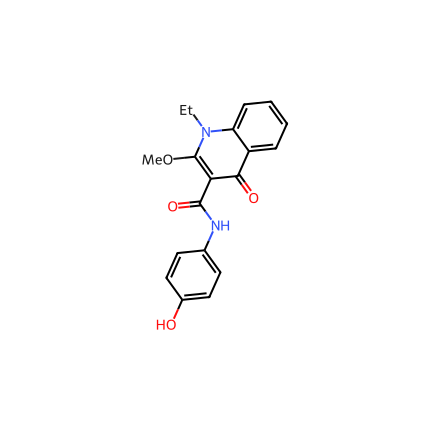 CCn1c(OC)c(C(=O)Nc2ccc(O)cc2)c(=O)c2ccccc21